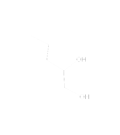 C[CH]CC(O)CO